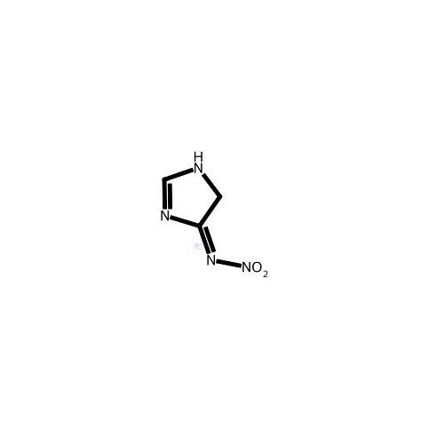 O=[N+]([O-])/N=C1\CNC=N1